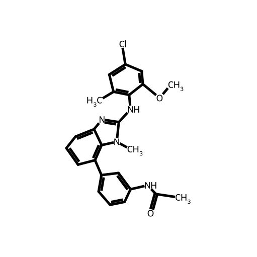 COc1cc(Cl)cc(C)c1Nc1nc2cccc(-c3cccc(NC(C)=O)c3)c2n1C